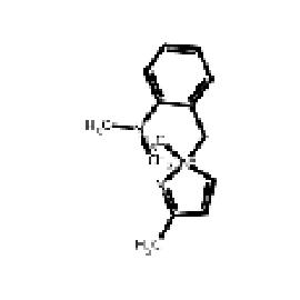 CC1=N[N+](C)(Cc2ccccc2N(C)C)C=C1